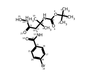 CC(C)(C)OC(=O)NC(C)(C)[C@H](NC(=O)c1ccc(Br)cc1)C(=O)NO